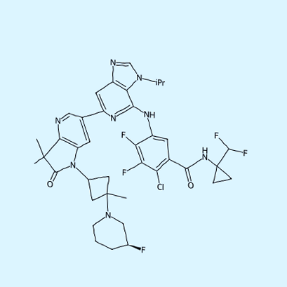 CC(C)n1cnc2cc(-c3cnc4c(c3)N(C3CC(C)(N5CCC[C@H](F)C5)C3)C(=O)C4(C)C)nc(Nc3cc(C(=O)NC4(C(F)F)CC4)c(Cl)c(F)c3F)c21